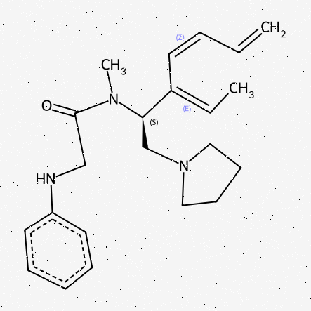 C=C/C=C\C(=C/C)[C@@H](CN1CCCC1)N(C)C(=O)CNc1ccccc1